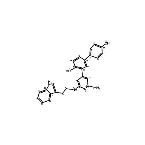 Nc1nc(NCCc2c[nH]c3ccccc23)cc(-c2cc(-c3ccc(O)cc3)ccc2O)n1